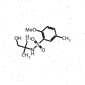 COc1ccc(C)cc1S(=O)(=O)NC(C)(C)CO